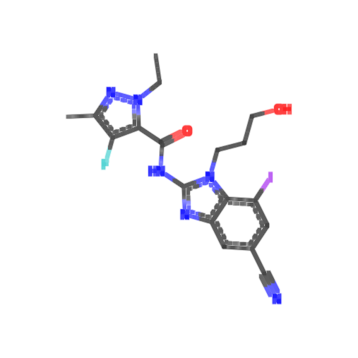 CCn1nc(C)c(F)c1C(=O)Nc1nc2cc(C#N)cc(I)c2n1CCCO